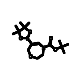 CC(C)(C)OC(=O)N1C=C(B2OC(C)(C)C(C)(C)O2)COCC1